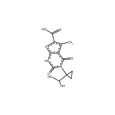 Cc1c(C(O)=S)sc2[nH]c(=O)n(C3(C(O)O)CC3)c(=O)c12